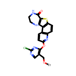 CCOCc1cnc(Cl)nc1Oc1ccc2c(ccc3sc4c(c32)NCCNC4=O)n1